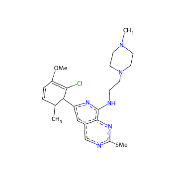 COC1=C(Cl)C(c2cc3cnc(SC)nc3c(NCCN3CCN(C)CC3)n2)C(C)C=C1